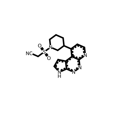 N#CCS(=O)(=O)N1CCCC(c2ccnc3nnc4[nH]ccc4c23)C1